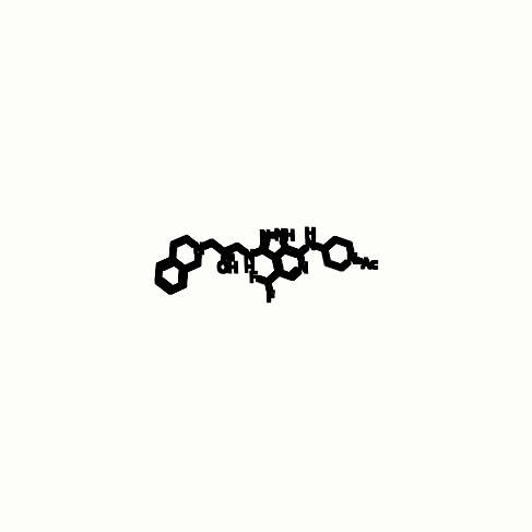 CC(=O)N1CCC(Nc2ncc(C(F)F)c3c(NC[C@@H](O)CN4CCc5ccccc5C4)n[nH]c23)CC1